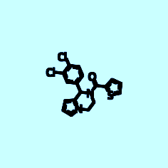 O=C(c1cccs1)N1CCn2cccc2C1c1ccc(Cl)c(Cl)c1